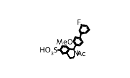 COc1cc(-c2cccc(F)c2)ccc1C1c2ccc(S(=O)(=O)O)cc2CCN1C(C)=O